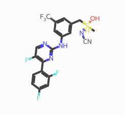 C[SH](O)(Cc1cc(Nc2ncc(F)c(-c3ccc(F)cc3F)n2)cc(C(F)(F)F)c1)=NC#N